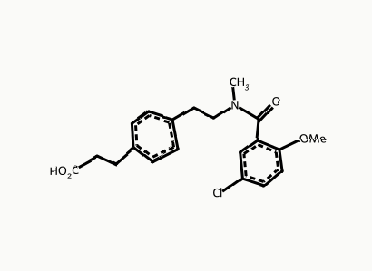 COc1ccc(Cl)cc1C(=O)N(C)CCc1ccc(CCC(=O)O)cc1